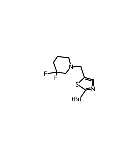 CC(C)(C)c1ncc(CN2CCCC(F)(F)C2)s1